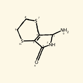 NC1NC(=O)C2=C1SCCS2